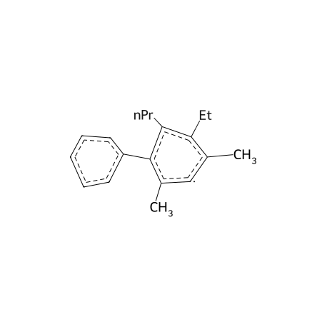 CCCc1c(CC)c(C)[c]c(C)c1-c1ccccc1